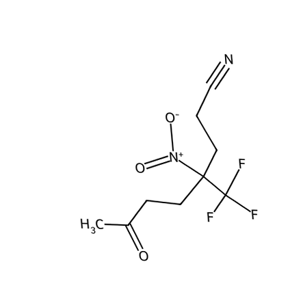 CC(=O)CCC(CCC#N)([N+](=O)[O-])C(F)(F)F